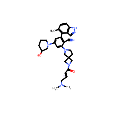 Cc1ccc2[nH]ncc2c1-c1cc(N2CCCC(O)C2)cc(N2CCC3(CN(C(=O)/C=C/CN(C)C)C3)C2)c1C#N